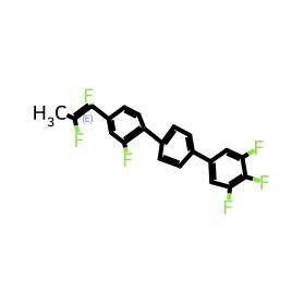 C/C(F)=C(\F)c1ccc(-c2ccc(-c3cc(F)c(F)c(F)c3)cc2)c(F)c1